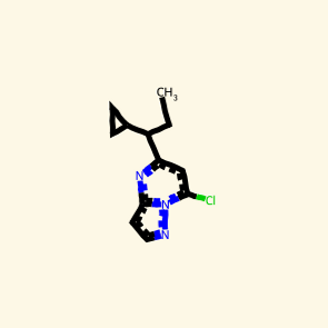 CCC(c1cc(Cl)n2nccc2n1)C1CC1